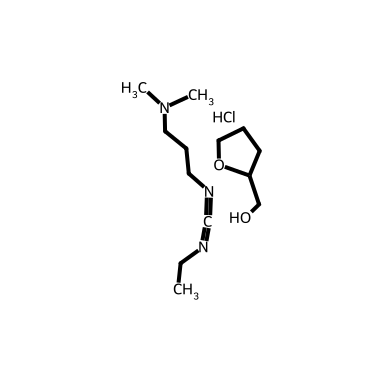 CCN=C=NCCCN(C)C.Cl.OCC1CCCO1